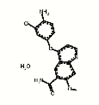 COc1cc2nccc(Oc3ccc(N)c(Cl)c3)c2cc1C(N)=O.O